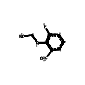 N#CCOc1c(F)cccc1C=O